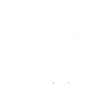 CCCCC/C=C\C/C=C\CCCCCCCC(=O)OCC(COC(=O)CCCCC(OCCCCCCC(F)(F)C(F)(F)F)OCCCCCCC(F)(F)C(F)(F)F)COC(=O)OCC1CCCN(CC)C1